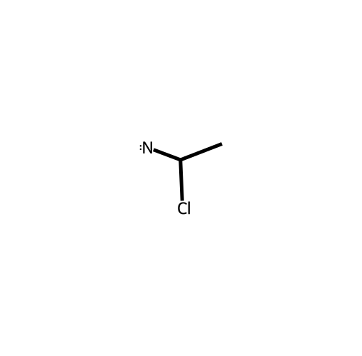 CC([N])Cl